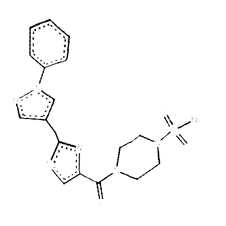 NS(=O)(=O)N1CCN(C(=O)c2csc(-c3cnn(-c4ccccc4)c3)n2)CC1